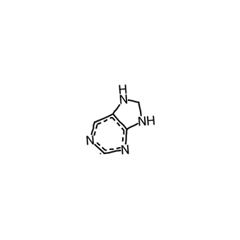 [c]1ncc2c(n1)NCN2